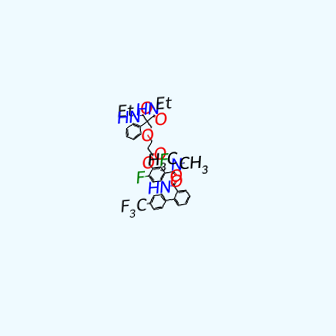 CCNC(=O)C(COCCC(=O)Oc1c(F)cc(NC(=O)c2ccccc2-c2ccc(C(F)(F)F)cc2)c(C(=O)N(C)C)c1F)(C(=O)NCC)c1ccccc1